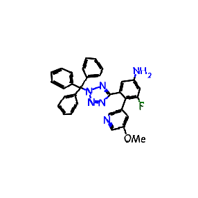 COc1cncc(-c2c(F)cc(N)cc2-c2nnn(C(c3ccccc3)(c3ccccc3)c3ccccc3)n2)c1